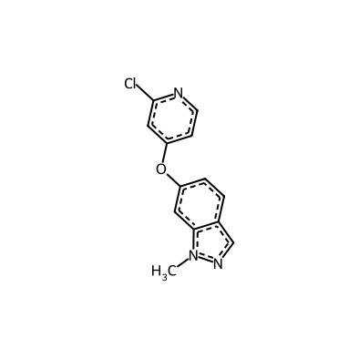 Cn1ncc2ccc(Oc3ccnc(Cl)c3)cc21